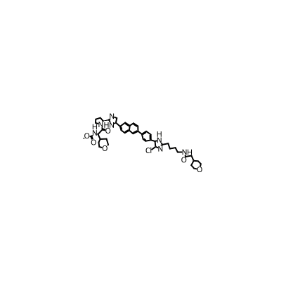 COC(=O)N[C@H](C(=O)N1CCC[C@H]1C1=NCC(c2ccc3cc(-c4ccc(C5NC(CCCCNC(=O)CC6CCOCC6)=NC5Cl)cc4)ccc3c2)N1)C1CCOCC1